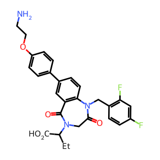 CCC(C(=O)O)N1CC(=O)N(Cc2ccc(F)cc2F)c2ccc(-c3ccc(OCCN)cc3)cc2C1=O